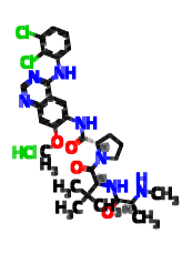 CN[C@@H](C)C(=O)N[C@H](C(=O)N1CCC[C@H]1C(=O)Nc1cc2c(Nc3cccc(Cl)c3Cl)ncnc2cc1OC)C(C)(C)C.Cl